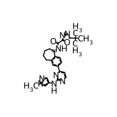 Cn1cc(Nc2nccc(-c3ccc4c(c3)CCCC[C@@H]4NC(=O)c3nnc(C(C)(C)C)o3)n2)cn1